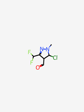 CN1N=C(C(F)F)C(C=O)C1Cl